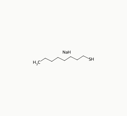 CCCCCCCCS.[NaH]